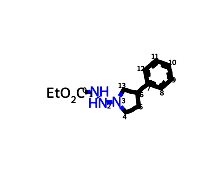 CCOC(=O)NNN1CCC(c2ccccc2)C1